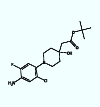 CC(C)(C)OC(=O)CC1(O)CCN(c2cc(F)c(N)cc2Cl)CC1